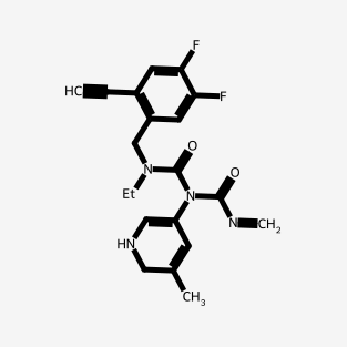 C#Cc1cc(F)c(F)cc1CN(CC)C(=O)N(C(=O)N=C)C1=CNCC(C)=C1